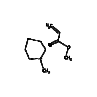 C=CC(=O)OC.C[C]1CCCCC1